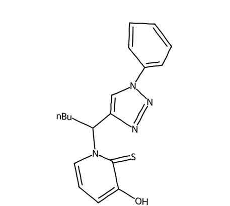 CCCCC(c1cn(-c2ccccc2)nn1)n1cccc(O)c1=S